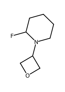 FC1CCCCN1C1COC1